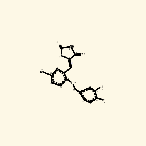 O=C1NC(=S)S/C1=C\c1cc(Br)ccc1OCc1ccc(Cl)c(Cl)c1